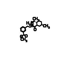 COC(=O)c1cccc(CCNC(=O)[C@@H]2CC(C)CC[C@H]2C(C)C)c1